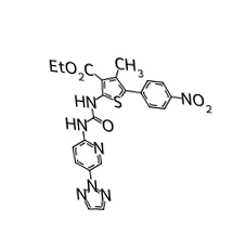 CCOC(=O)c1c(NC(=O)Nc2ccc(-n3nccn3)cn2)sc(-c2ccc([N+](=O)[O-])cc2)c1C